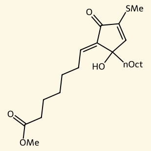 CCCCCCCCC1(O)C=C(SC)C(=O)C1=CCCCCCC(=O)OC